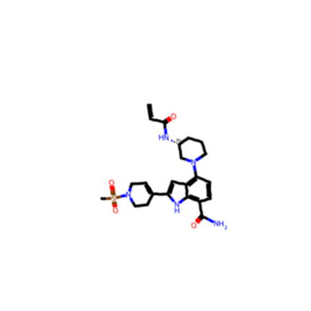 C=CC(=O)N[C@@H]1CCCN(c2ccc(C(N)=O)c3[nH]c(C4=CCN(S(C)(=O)=O)CC4)cc23)C1